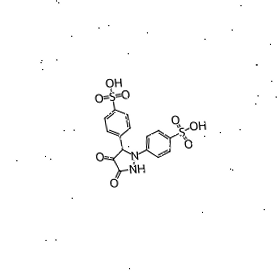 O=C1NN(c2ccc(S(=O)(=O)O)cc2)C(c2ccc(S(=O)(=O)O)cc2)C1=O